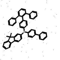 CC1(C)c2ccccc2-c2ccc(N(c3ccc(-c4ccccc4)cc3)c3ccc(-c4c(-c5ccccc5)cccc4-c4ccccc4)cc3)cc21